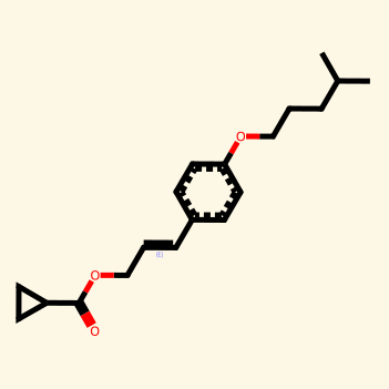 CC(C)CCCOc1ccc(/C=C/COC(=O)C2CC2)cc1